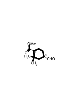 COC(=O)[C@@H]1CC[C@H](C=O)CC1(C)C